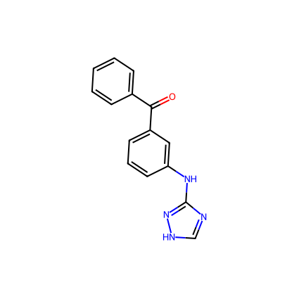 O=C(c1ccccc1)c1cccc(Nc2nc[nH]n2)c1